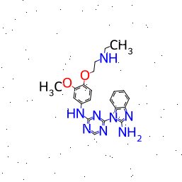 CCNCCOc1ccc(Nc2ncnc(-n3c(N)nc4ccccc43)n2)cc1OC